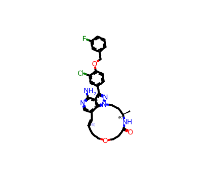 C[C@@H]1CCn2nc(-c3ccc(OCc4cccc(F)c4)c(Cl)c3)c3c(N)ncc(c32)/C=C/CCOCCC(=O)N1